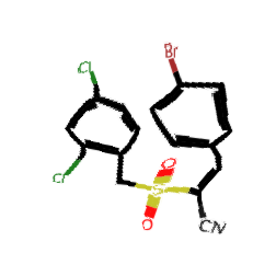 N#CC(=Cc1ccc(Br)cc1)S(=O)(=O)Cc1ccc(Cl)cc1Cl